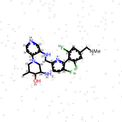 CNCc1cc(F)c(-c2nc(CNc3cnccc3N3CC(C)C(O)C(N)C3)ccc2F)c(F)c1